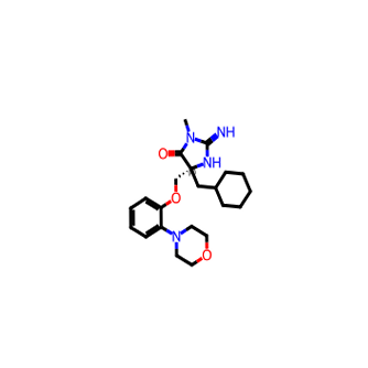 CN1C(=N)N[C@@](COc2ccccc2N2CCOCC2)(CC2CCCCC2)C1=O